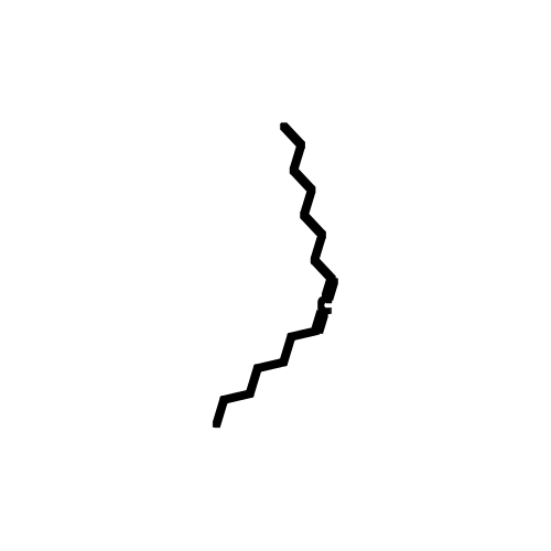 CCCCCCC=C=CCCCCCCC